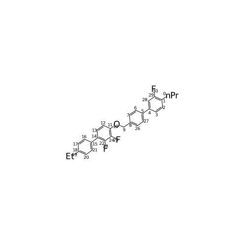 CCCc1ccc(-c2ccc(COc3ccc(-c4ccc(CC)cc4)c(F)c3F)cc2)cc1F